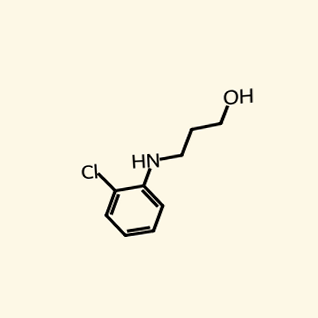 OCCCNc1ccccc1Cl